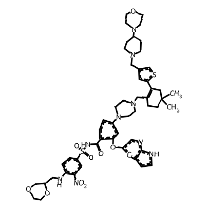 CC1(C)CCC(CN2CCN(c3ccc(C(=O)NS(=O)(=O)c4ccc(NCC5COCCO5)c([N+](=O)[O-])c4)c(Oc4cnc5[nH]ccc5c4)c3)CC2)=C(c2cc(CN3CCC(N4CCOCC4)CC3)cs2)C1